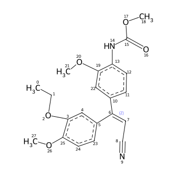 CCOc1cc(/C(=C\C#N)c2ccc(NC(=O)OC)c(OC)c2)ccc1OC